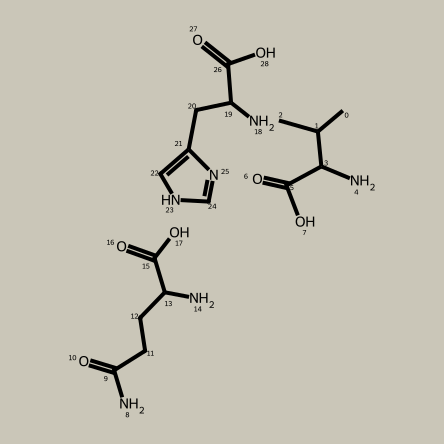 CC(C)C(N)C(=O)O.NC(=O)CCC(N)C(=O)O.NC(Cc1c[nH]cn1)C(=O)O